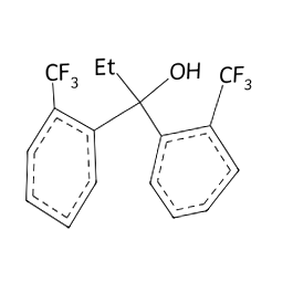 CCC(O)(c1ccccc1C(F)(F)F)c1ccccc1C(F)(F)F